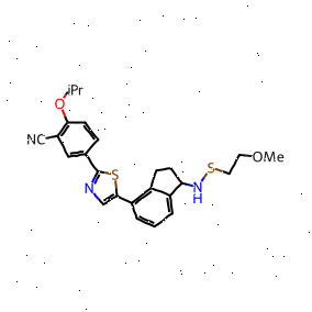 COCCSNC1CCc2c(-c3cnc(-c4ccc(OC(C)C)c(C#N)c4)s3)cccc21